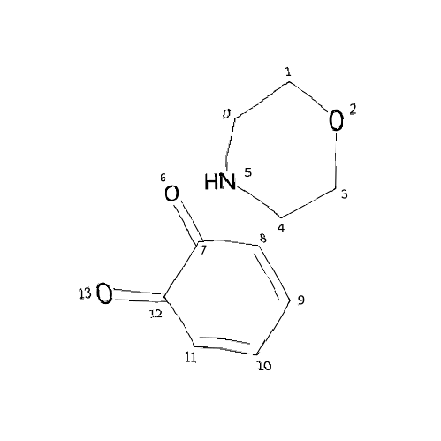 C1COCCN1.O=C1C=CC=CC1=O